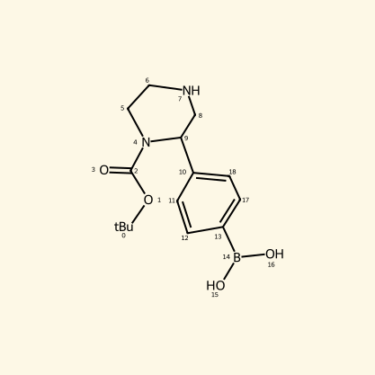 CC(C)(C)OC(=O)N1CCNCC1c1ccc(B(O)O)cc1